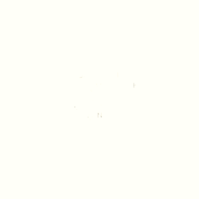 Cc1onc(-c2ccc(F)c(F)c2)c1C(=O)CBr